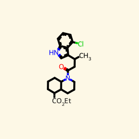 CCOC(=O)C1CCCC2C1CCCN2C(=O)CC(C)c1c[nH]c2cccc(Cl)c12